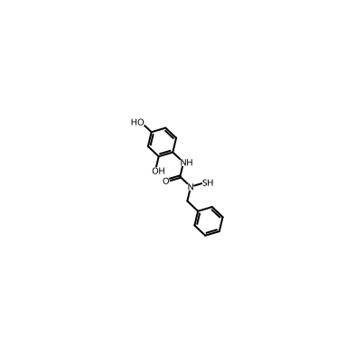 O=C(Nc1ccc(O)cc1O)N(S)Cc1ccccc1